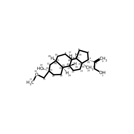 C=C(CO)[C@H]1CC[C@H]2[C@@H]3CC[C@@H]4C[C@](O)(COC)CC[C@@H]4[C@H]3CC[C@]12C